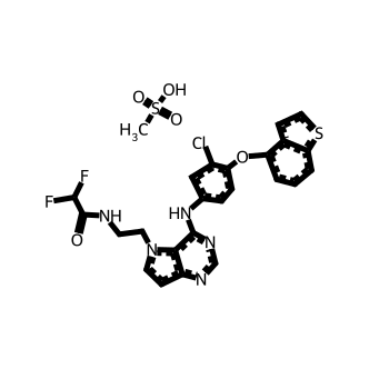 CS(=O)(=O)O.O=C(NCCn1ccc2ncnc(Nc3ccc(Oc4cccc5sccc45)c(Cl)c3)c21)C(F)F